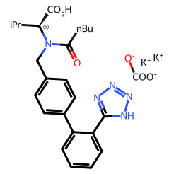 CCCCC(=O)N(Cc1ccc(-c2ccccc2-c2nnn[nH]2)cc1)[C@H](C(=O)O)C(C)C.O=C([O-])[O-].[K+].[K+]